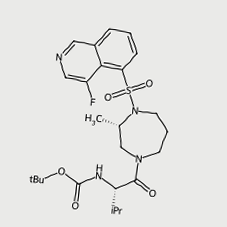 CC(C)[C@H](NC(=O)OC(C)(C)C)C(=O)N1CCCN(S(=O)(=O)c2cccc3cncc(F)c23)[C@@H](C)C1